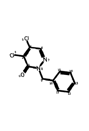 O=c1c(Cl)c(Cl)cnn1Cc1ccccc1